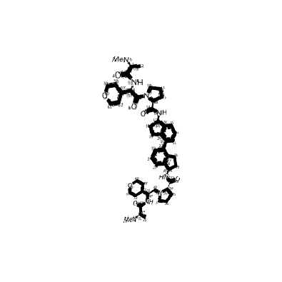 CN[C@@H](C)C(=O)N[C@H](C(=O)N1CCC[C@H]1C(=O)N[C@@H]1CCc2c(-c3cccc4c3CC[C@H]4NC(=O)[C@@H]3CCCN3C[C@@H](NC(=O)[C@H](C)NC)C3CCOCC3)cccc21)C1CCOCC1